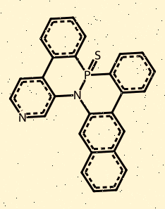 S=P12c3ccccc3-c3ccncc3N1c1cc3ccccc3cc1-c1ccccc12